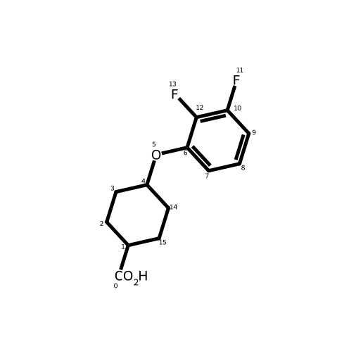 O=C(O)C1CCC(Oc2cccc(F)c2F)CC1